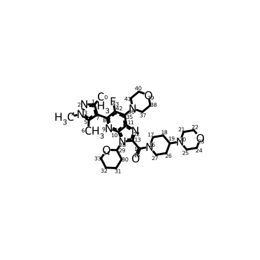 Cc1nn(C)c(C)c1-c1nc2c(nc(C(=O)N3CCC(N4CCOCC4)CC3)n2C2CCCCO2)c(N2CCOCC2)c1F